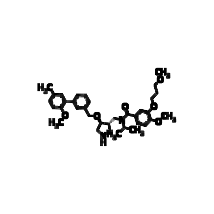 COCCCOc1cc(C(=O)N(C[C@@H]2CNC[C@H]2OCc2cccc(-c3cc(C)ccc3OC)c2)C(C)C)ccc1OC